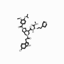 CNC(=O)[C@H](CCCc1ccncc1)NC(=O)C1CN(C(=O)Cc2c[nH]c3cc(Cl)ccc23)CC2CN(C(=O)c3ccc(OC(C)C)c(OC)c3)CC21